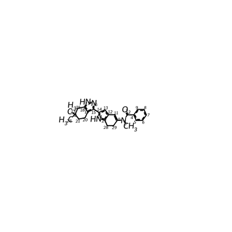 CN(C(=O)c1ccccc1)C1=Cc2cc(-c3n[nH]c4c3CCC(C)(C)C4)[nH]c2CC1